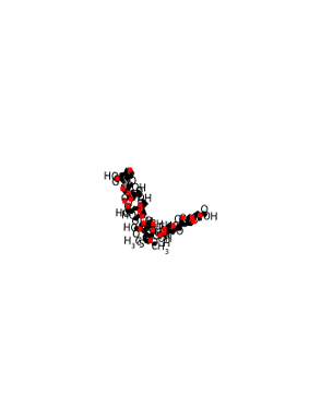 COc1cc(SC)ccc1C(=O)O.CS(=O)(=O)c1ccc(C(=O)O)cc1.Cc1c(C(=O)O)[nH]c2ccccc12.Cc1ccsc1C(=O)O.O=C(O)CCCc1cccs1.O=C(O)c1cc2ccccc2oc1=O.O=C(O)c1ccc2c(c1)OCO2.O=C(O)c1ccccn1.O=C(O)c1ccsc1.O=C(O)c1cnc2ccccc2c1